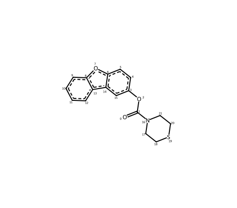 O=C(Oc1ccc2oc3ccccc3c2c1)N1CCSCC1